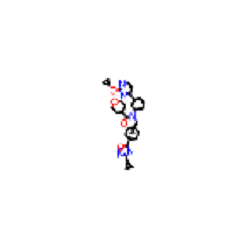 O=C(C1CCOCC1)N(CC12CCC(c3nc(C4CC4)no3)(CC1)CC2)c1cccc(-c2ccnc(OC3CC3)n2)c1